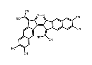 N#CC(C#N)=C1c2cc3cc(C#N)c(C#N)cc3cc2-c2c1nnc1c2C(=C(C#N)C#N)c2cc3cc(C#N)c(C#N)cc3cc2-1